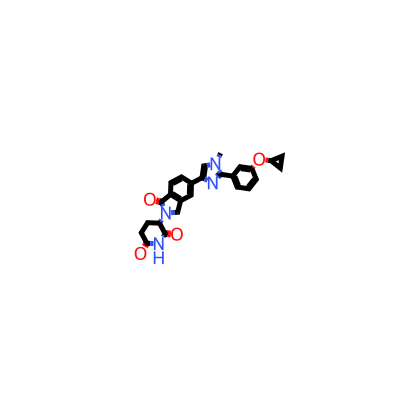 Cn1cc(-c2ccc3c(c2)CN(C2CCC(=O)NC2=O)C3=O)nc1-c1cccc(OC2CC2)c1